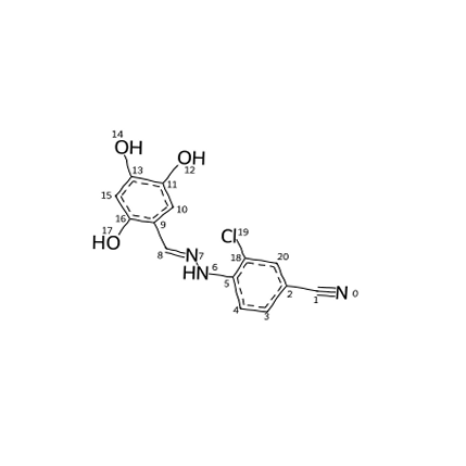 N#Cc1ccc(NN=Cc2cc(O)c(O)cc2O)c(Cl)c1